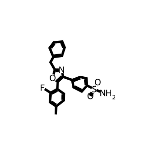 Cc1ccc(-c2oc(Cc3ccccc3)nc2-c2ccc(S(N)(=O)=O)cc2)c(F)c1